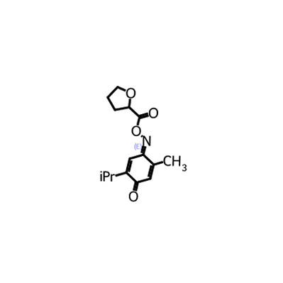 CC1=CC(=O)C(C(C)C)=C/C1=N\OC(=O)C1CCCO1